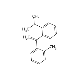 C=C(c1ccccc1C)c1ccccc1C(C)C